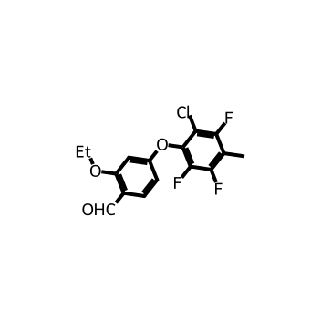 CCOc1cc(Oc2c(F)c(F)c(C)c(F)c2Cl)ccc1C=O